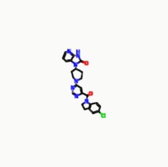 O=C(c1cc(N2CCC(n3c(=O)[nH]c4ncccc43)CC2)ncn1)N1CCc2cc(Cl)ccc21